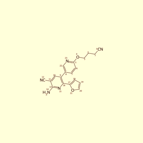 N#CCCCOc1ccc(-c2cc(C#N)c(N)nc2-c2ccco2)cn1